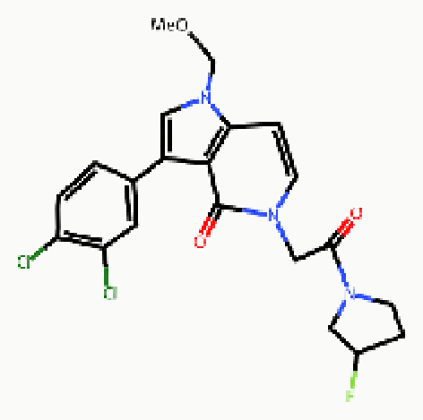 COCn1cc(-c2ccc(Cl)c(Cl)c2)c2c(=O)n(CC(=O)N3CCC(F)C3)ccc21